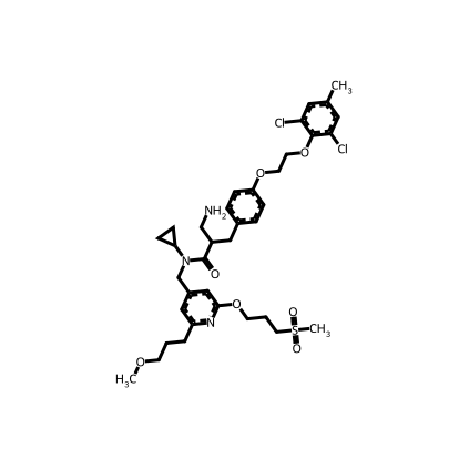 COCCCc1cc(CN(C(=O)C(CN)Cc2ccc(OCCOc3c(Cl)cc(C)cc3Cl)cc2)C2CC2)cc(OCCCS(C)(=O)=O)n1